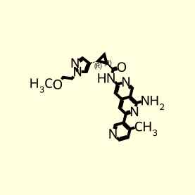 COCCn1cc([C@@H]2C[C@H]2C(=O)Nc2cc3cc(-c4cnccc4C)nc(N)c3cn2)cn1